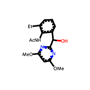 CCc1cccc(C(O)c2nc(OC)cc(OC)n2)c1NC(C)=O